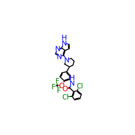 O=C(Nc1cc(C2CCCN(c3ncnc4[nH]ccc34)C2)ccc1OC(F)(F)F)c1c(Cl)cccc1Cl